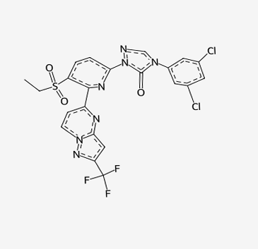 CCS(=O)(=O)c1ccc(-n2ncn(-c3cc(Cl)cc(Cl)c3)c2=O)nc1-c1ccn2nc(C(F)(F)F)cc2n1